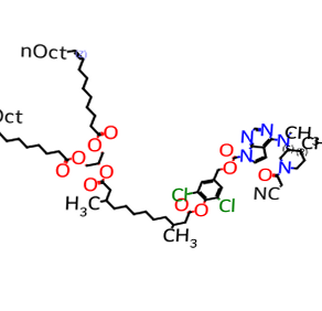 CCCCCCCC/C=C\CCCCCCCC(=O)OCC(COC(=O)CCCCCCC/C=C\CCCCCCCC)OC(=O)CC(C)CCCCCCC(C)CC(=O)Oc1c(Cl)cc(COC(=O)n2ccc3c(N(C)[C@@H]4CN(C(=O)CC#N)CC[C@H]4C)ncnc32)cc1Cl